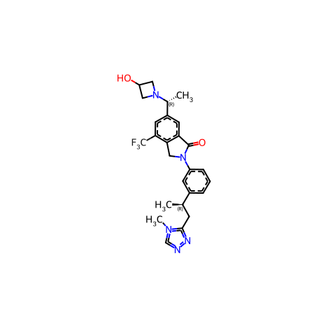 C[C@H](Cc1nncn1C)c1cccc(N2Cc3c(cc([C@@H](C)N4CC(O)C4)cc3C(F)(F)F)C2=O)c1